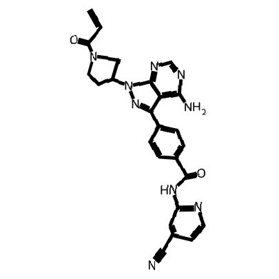 C=CC(=O)N1CCC(n2nc(-c3ccc(C(=O)Nc4cc(C#N)ccn4)cc3)c3c(N)ncnc32)C1